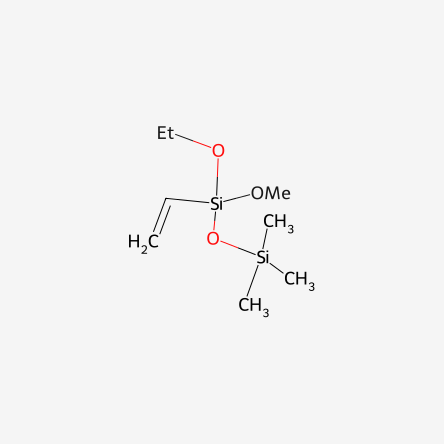 C=C[Si](OC)(OCC)O[Si](C)(C)C